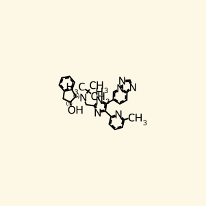 Cc1cccc(-c2nc(CN([C@H]3c4ccccc4C[C@@H]3O)C(C)(C)C)[nH]c2-c2ccc3ncnn3c2)n1